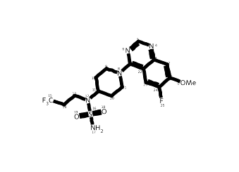 COc1cc2ncnc(N3CCC(N(CCC(F)(F)F)S(N)(=O)=O)CC3)c2cc1F